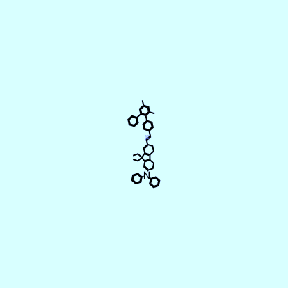 CCC1(CC)C2=C(CCC(/C=C/c3ccc(-c4c(C)cc(C)cc4-c4ccccc4)cc3)=C2)C2=C1C=C(N(c1ccccc1)c1ccccc1)CC2